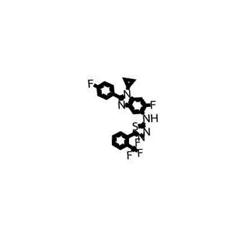 Fc1ccc(-c2nc3cc(Nc4nnc(-c5ccccc5C(F)(F)F)s4)c(F)cc3n2C2CC2)cc1